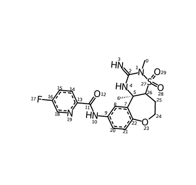 CN1C(=N)N[C@]2(C)c3cc(NC(=O)c4ccc(F)cn4)ccc3OCCC2S1(=O)=O